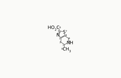 CC1Cc2nc(C(=O)O)sc2CN1